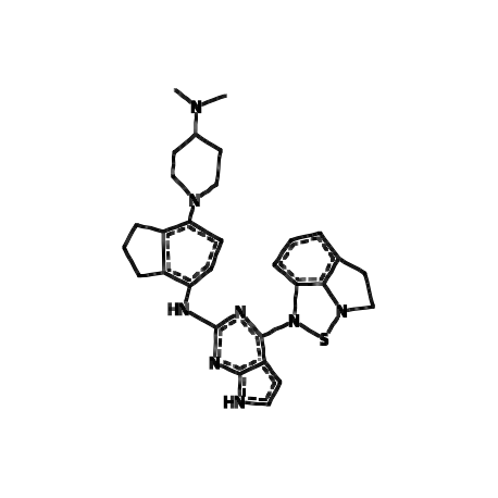 CN(C)C1CCN(c2ccc(Nc3nc(N4SN5CCc6cccc4c65)c4cc[nH]c4n3)c3c2CCC3)CC1